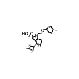 Cc1ccc(OCCn2c(C(=O)O)cc3c(-c4csc(C)n4)nccc32)cc1